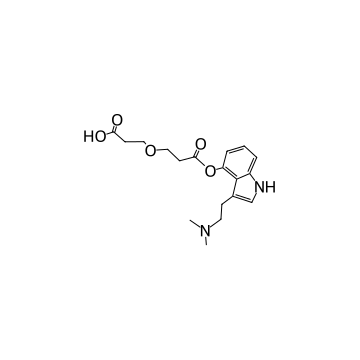 CN(C)CCc1c[nH]c2cccc(OC(=O)CCOCCC(=O)O)c12